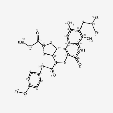 CCOc1ccc(NC(=O)N(Cc2cc3cc(C)c(CN(CC)CC)c(C)c3[nH]c2=O)C2CCN(C(=O)OC(C)(C)C)C2)cc1